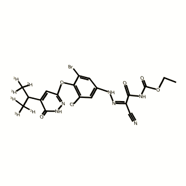 [2H]C([2H])([2H])C(c1cc(Oc2c(Cl)cc(NN=C(C#N)C(=O)NC(=O)OCC)cc2Br)n[nH]c1=O)C([2H])([2H])[2H]